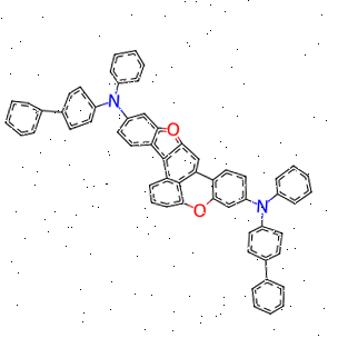 c1ccc(-c2ccc(N(c3ccccc3)c3ccc4c(c3)Oc3cccc5c3c-4cc3oc4cc(N(c6ccccc6)c6ccc(-c7ccccc7)cc6)ccc4c35)cc2)cc1